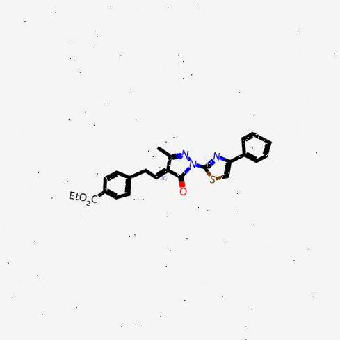 CCOC(=O)c1ccc(C/C=C2/C(=O)N(c3nc(-c4ccccc4)cs3)N=C2C)cc1